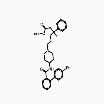 CCCOC(=O)CC(C)(CCCN1CCC(NC(=O)c2ccccc2-c2ccc(CC)cc2)CC1)c1ccccc1